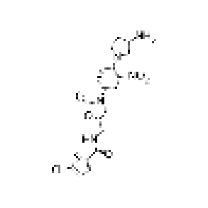 NC1CCN(c2ccc(N3CC(CNC(=O)c4ccc(Cl)s4)OC3=O)cc2[N+](=O)[O-])C1